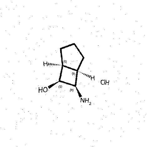 Cl.N[C@H]1[C@@H](O)[C@H]2CCC[C@@H]12